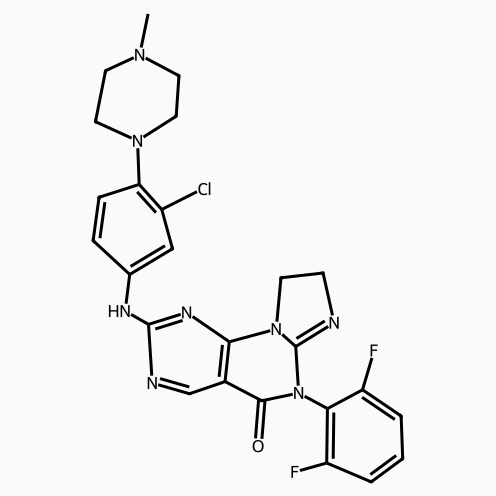 CN1CCN(c2ccc(Nc3ncc4c(n3)N3CCN=C3N(c3c(F)cccc3F)C4=O)cc2Cl)CC1